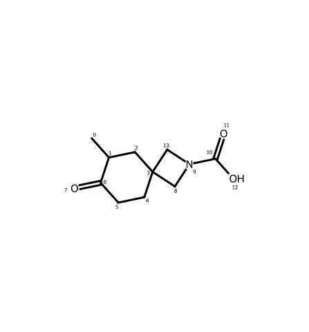 CC1CC2(CCC1=O)CN(C(=O)O)C2